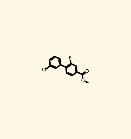 COC(=O)c1ccc(-c2cccc(Cl)c2)c(F)c1